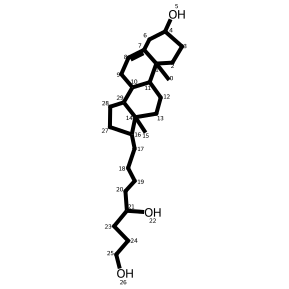 CC12CCC(O)CC1=CCC1C2CCC2(C)C(CCCCC(O)CCCO)CCC12